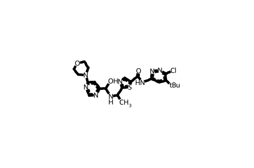 CC(NC(O)c1cc(N2CCOCC2)ncn1)c1ncc(C(=O)Nc2cc(C(C)(C)C)c(Cl)nn2)s1